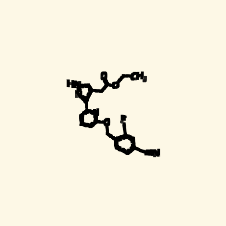 CCOC(=O)Cc1c[nH]nc1-c1cccc(OCc2ccc(C#N)cc2F)n1